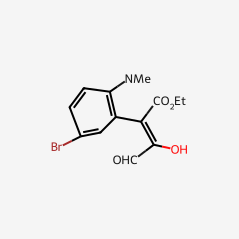 CCOC(=O)/C(=C(\O)C=O)c1cc(Br)ccc1NC